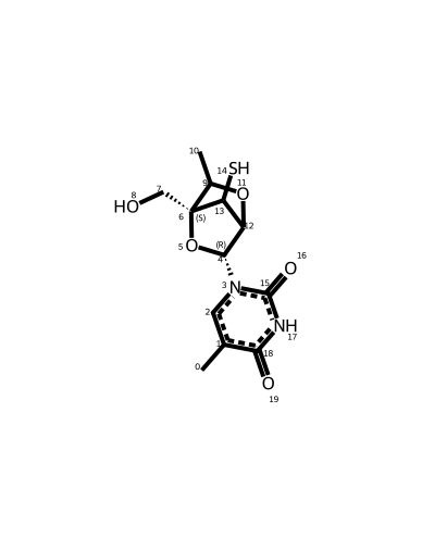 Cc1cn([C@@H]2O[C@@]3(CO)C(C)OC2C3S)c(=O)[nH]c1=O